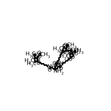 CC(=O)OCC1OC(OCCCCCCNC(=O)CCC(N)(CCC(=O)NCCCCCCOC2OCC(OC(C)=O)C(C)C2C)CCC(=O)NCCCCCCOC2OC(COC(C)=O)C(OC(C)=O)C(C)C2C)C(C)C(C)C1OC(C)=O